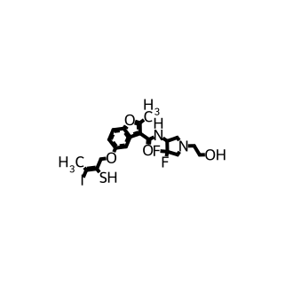 C/C(I)=C(/S)COc1ccc2oc(C)c(C(=O)NC3CN(CCO)CC3(F)F)c2c1